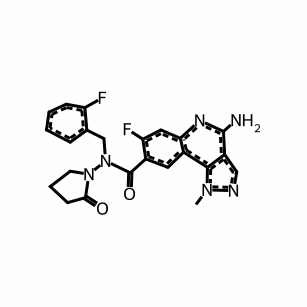 Cn1ncc2c(N)nc3cc(F)c(C(=O)N(Cc4ccccc4F)N4CCCC4=O)cc3c21